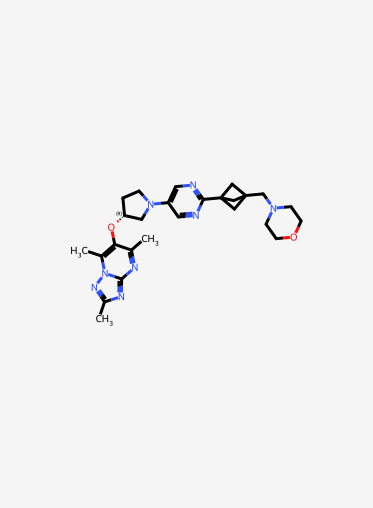 Cc1nc2nc(C)c(O[C@@H]3CCN(c4cnc(C56CC(CN7CCOCC7)(C5)C6)nc4)C3)c(C)n2n1